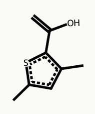 C=C(O)c1sc(C)cc1C